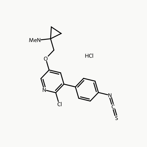 CNC1(COc2cnc(Cl)c(-c3ccc(N=C=S)cc3)c2)CC1.Cl